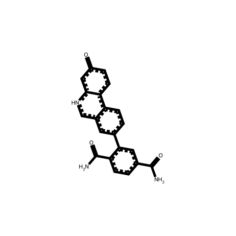 NC(=O)c1ccc(C(N)=O)c(-c2ccc3c4ccc(=O)cc-4[nH]cc3c2)c1